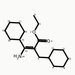 CCOC(=O)C(CC1CCCCC1)=C(N)C1CCCCC1